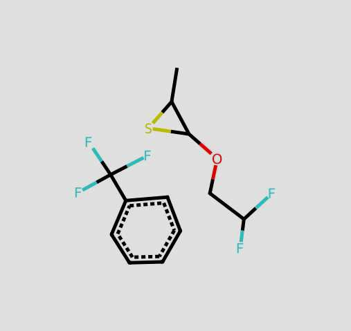 CC1SC1OCC(F)F.FC(F)(F)c1ccccc1